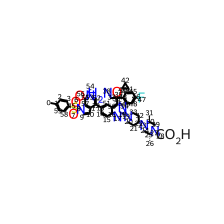 Cc1ccc(S(=O)(=O)n2ccc3c(-c4ccc5nc(N6CCC(N7C[C@@H](C)N(C(=O)O)C[C@@H]7C)CC6)nc(C(CN)(OC6CC6)c6ccc(F)cc6)c5c4)cn(C)c(=O)c32)cc1